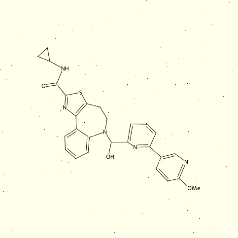 COc1ccc(-c2cccc(C(O)N3CCc4sc(C(=O)NC5CC5)nc4-c4ccccc43)n2)cn1